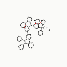 CC1(c2ccccc2)c2ccccc2-c2cc(N(c3cccc(-c4ccc5c(c4)c(-c4ccccc4)c(-c4ccccc4)c4ccccc45)c3)c3c(-c4ccccc4)cccc3-c3ccccc3)ccc21